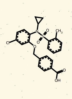 Cc1ccccc1S(=O)(=O)N(c1ccc(Cl)cc1OCc1ccc(C(=O)O)cc1)C1CC1